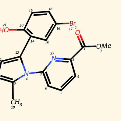 COC(=O)c1cccc(-n2c(C)ccc2-c2cc(Br)ccc2O)n1